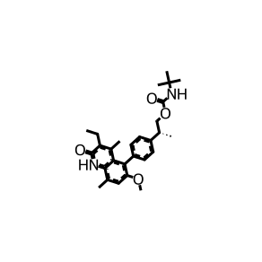 CCc1c(C)c2c(-c3ccc([C@@H](C)COC(=O)NC(C)(C)C)cc3)c(OC)cc(C)c2[nH]c1=O